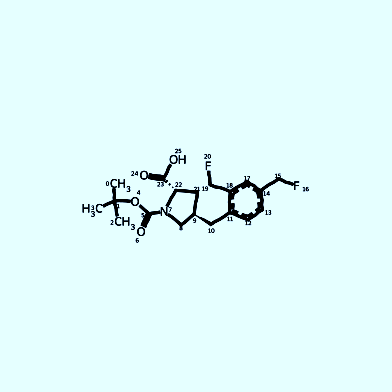 CC(C)(C)OC(=O)N1C[C@H](Cc2ccc(CF)cc2CF)C[C@H]1C(=O)O